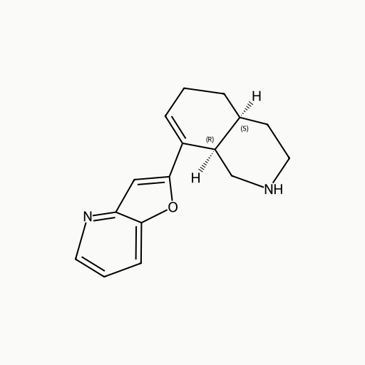 C1=C(c2cc3ncccc3o2)[C@@H]2CNCC[C@@H]2CC1